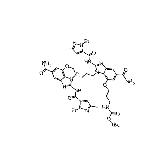 CCn1nc(C)cc1C(=O)Nc1nc2cc(C(N)=O)cc(OCCCNC(=O)OC(C)(C)C)c2n1CCC[C@H]1COc2cc(C(N)=O)cc3nc(NC(=O)c4cc(C)nn4CC)n1c23